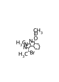 COCOc1nc2c(c(C(C)Br)nn2C)c2ccccc12